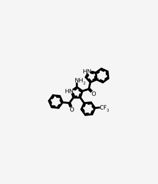 Nc1[nH]c(C(=O)c2ccccc2)c(-c2cccc(C(F)(F)F)c2)c1C(=O)c1c[nH]c2ccccc12